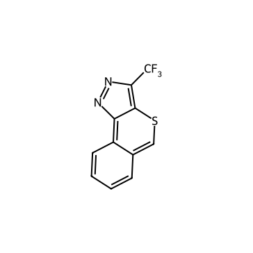 FC(F)(F)c1nnc2c3ccccc3csc1-2